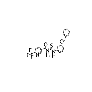 O=C(NC(=S)Nc1cccc(OCc2ccccc2)c1)c1ccc(C(F)(F)F)nc1